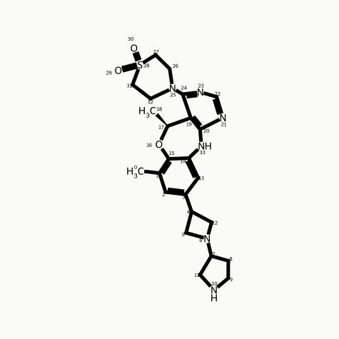 Cc1cc(C2CN(C3CCNC3)C2)cc2c1O[C@@H](C)c1c(ncnc1N1CCS(=O)(=O)CC1)N2